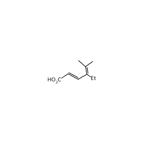 CCC(/C=C/C(=O)O)=C(C)C